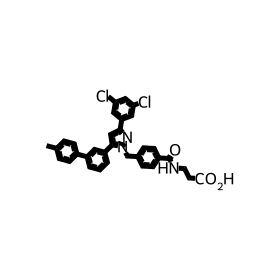 Cc1ccc(-c2cccc(-c3cc(-c4cc(Cl)cc(Cl)c4)nn3Cc3ccc(C(=O)NCCC(=O)O)cc3)c2)cc1